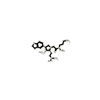 CCCCN(CCCN)C(=O)CN1C[C@H](c2ccc3c(c2)CCO3)[C@@H](C(=O)O)[C@@H]1CCN(C)C(C)=O